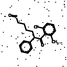 Cc1cccc(Cl)c1C(=O)C(CCCCP=O)c1ccccc1